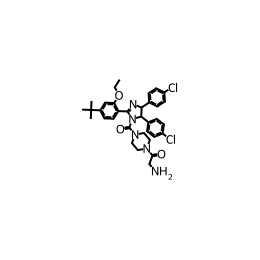 CCOc1cc(C(C)(C)C)ccc1C1=NC(c2ccc(Cl)cc2)C(c2ccc(Cl)cc2)N1C(=O)N1CCN(C(=O)CN)CC1